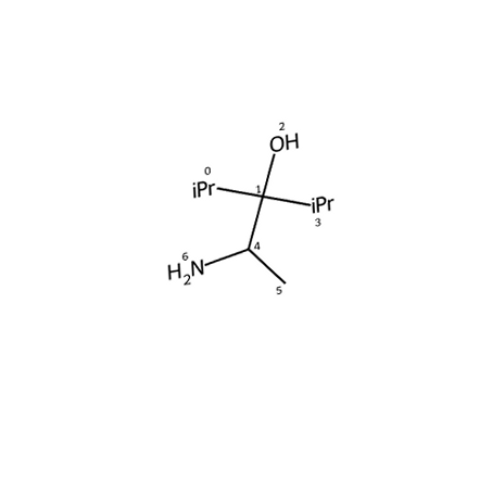 CC(C)C(O)(C(C)C)C(C)N